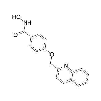 O=C(NO)c1ccc(OCc2ccc3ccccc3n2)cc1